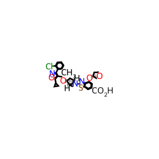 Cc1cccc(Cl)c1-c1noc(C2CC2)c1CO[C@@H]1C[C@@H]2C[C@H]1CN2c1nc2c(O[C@H]3CCOC3)cc(C(=O)O)cc2s1